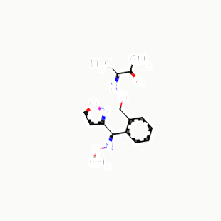 CON=C(c1ccon1)c1ccccc1CON=C(C)C(C)=O